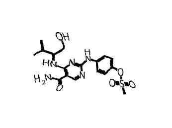 CC(C)C(CO)Nc1nc(Nc2ccc(OS(C)(=O)=O)cc2)ncc1C(N)=O